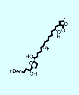 CCCCCCCCCCCC[C@H](O)[C@@H]1CC[C@@H](C(O)CCCCC([18F])CCCCC[C@@H](O)CC2=C[C@H](C)OC2=O)O1